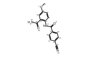 COc1ccc(NC(=O)c2ccc(C#N)cc2)c(C(N)=O)c1